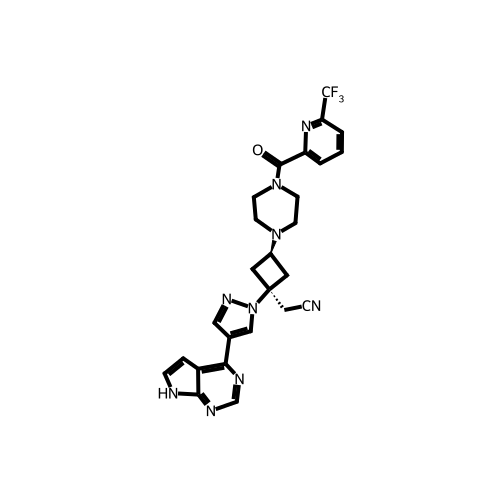 N#CC[C@]1(n2cc(-c3ncnc4[nH]ccc34)cn2)C[C@@H](N2CCN(C(=O)c3cccc(C(F)(F)F)n3)CC2)C1